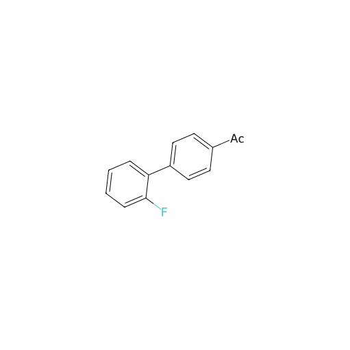 CC(=O)c1ccc(-c2ccccc2F)cc1